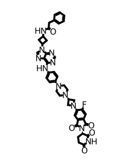 O=C1CC[C@H](N2C(=O)c3cc(F)c(N4CC(N5CCN(c6ccc(Nc7ncnc8c7ncn8C7CC(NC(=O)Cc8ccccc8)C7)cc6)CC5)C4)cc3C2=O)C(=O)N1